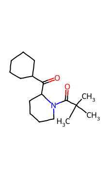 CC(C)(C)C(=O)N1CCCCC1C(=O)C1CCCCC1